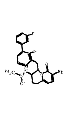 CCc1ccc2n(c1=O)C(Cc1cccc(-c3cccc(F)c3)c1F)C(N[S+](C)[O-])CC2